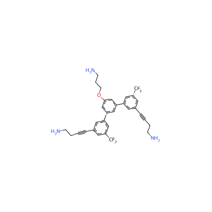 NCCC#Cc1cc(-c2cc(OCCCN)cc(-c3cc(C#CCCN)cc(C(F)(F)F)c3)c2)cc(C(F)(F)F)c1